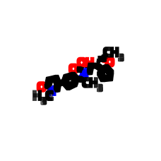 CC(=O)C[C@@H](CCN(C(=O)O)[C@@H](C)c1ccc(-c2ccc(=O)n(C)c2)cc1)c1ccccc1